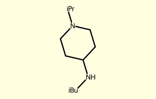 CCC(C)NC1CCN(C(C)C)CC1